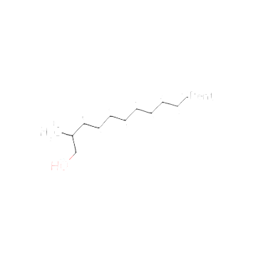 CCCC(C)CCCCCCCCC(C)CO